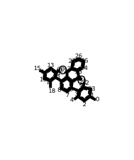 Cc1cc(C)c(-c2ccc(-c3c(C)cc(C)cc3C)c3c2C(=O)c2ccccc2C3=O)c(C)c1